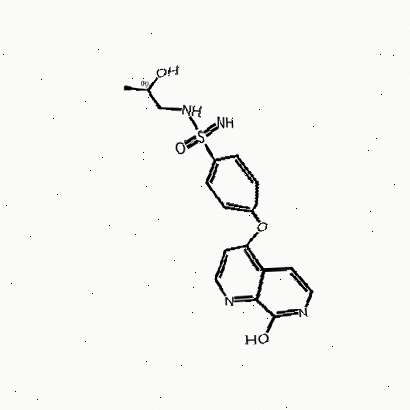 C[C@@H](O)CNS(=N)(=O)c1ccc(Oc2ccnc3c(O)nccc23)cc1